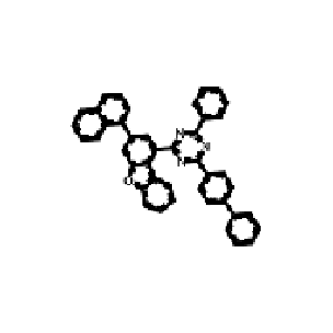 c1ccc(-c2ccc(-c3nc(-c4ccccc4)nc(-c4cc(-c5cccc6ccccc56)cc5oc6ccccc6c45)n3)cc2)cc1